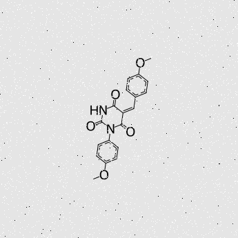 COc1ccc(C=C2C(=O)NC(=O)N(c3ccc(OC)cc3)C2=O)cc1